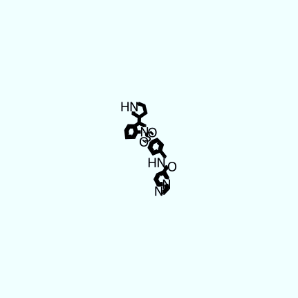 O=C(NCc1ccc(S(=O)(=O)N2CC(C3CCCNC3)c3ccccc32)cc1)c1ccc2nccn2c1